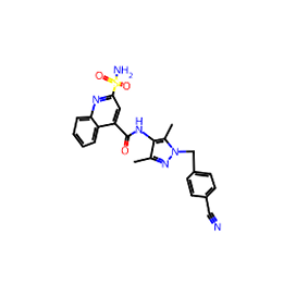 Cc1nn(Cc2ccc(C#N)cc2)c(C)c1NC(=O)c1cc(S(N)(=O)=O)nc2ccccc12